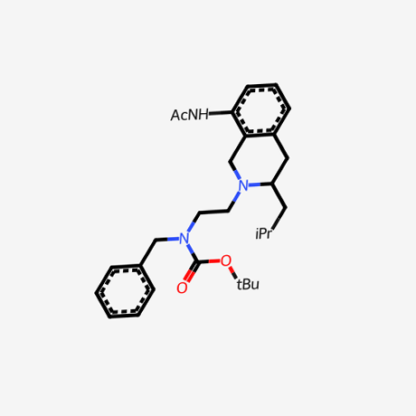 CC(=O)Nc1cccc2c1CN(CCN(Cc1ccccc1)C(=O)OC(C)(C)C)C(CC(C)C)C2